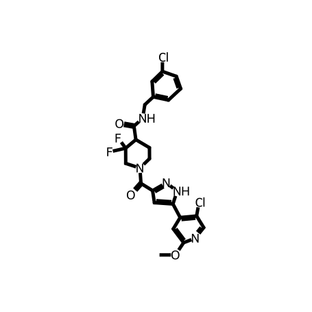 COc1cc(-c2cc(C(=O)N3CCC(C(=O)NCc4cccc(Cl)c4)C(F)(F)C3)n[nH]2)c(Cl)cn1